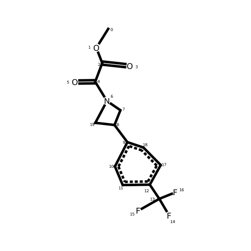 COC(=O)C(=O)N1CC(c2ccc(C(F)(F)F)cc2)C1